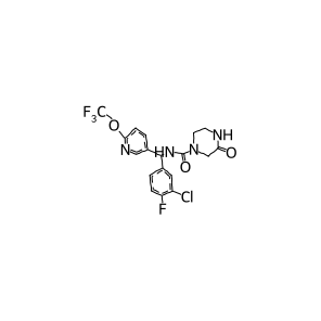 O=C1CN(C(=O)NC(c2ccc(OCC(F)(F)F)nc2)c2ccc(F)c(Cl)c2)CCN1